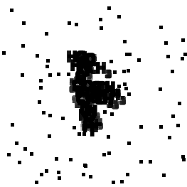 C[C@@H](CO[C@@H]1CCN([C@@H]2CCN(c3ncc(C(F)(F)F)cn3)C[C@@H]2O[Si](C)(C)C(C)(C)C)C1=O)NC(=O)O